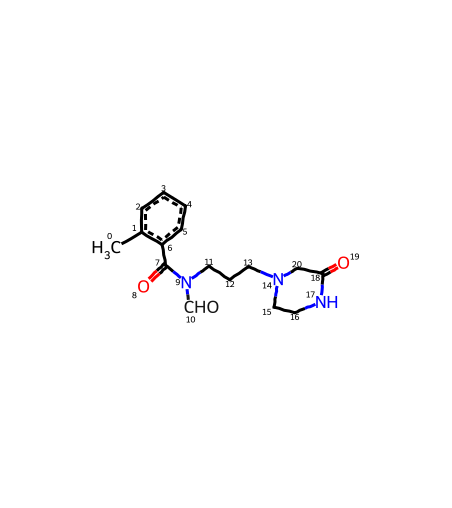 Cc1ccccc1C(=O)N(C=O)CCCN1CCNC(=O)C1